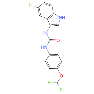 O=C(Nc1ccc(OC(F)F)cc1)Nc1c[nH]c2ccc(F)cc12